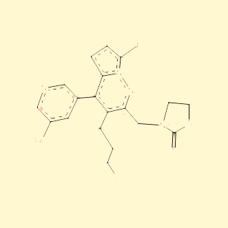 CCc1ccc2c(-c3cncc(Br)c3)c(CCCC(=O)O)c(CN3CCOC3=O)nn12